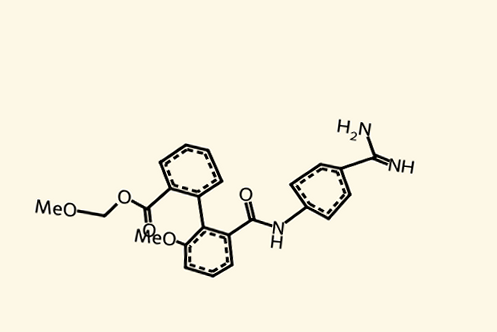 COCOC(=O)c1ccccc1-c1c(OC)cccc1C(=O)Nc1ccc(C(=N)N)cc1